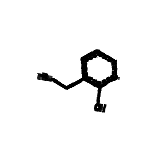 CCCCCc1ccc[c]c1O